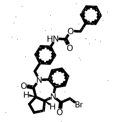 O=C(Nc1ccc(CN2C(=O)[C@H]3CCC[C@H]3N(C(=O)CBr)c3ccccc32)cc1)OCc1ccccc1